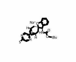 CC(C)(C)OC(=O)N[C@@H]1c2ccccc2O[C@@]12C[C@H]1CC[C@@H](C2)N1c1cnc([S-])cn1.[Na+]